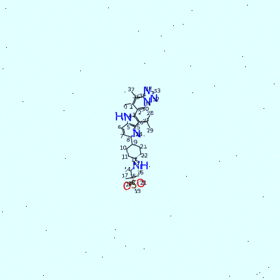 Cc1c(-c2[nH]c3ccc(C4CCC(NCC(C)(C)S(C)(=O)=O)CC4)nc3c2C(C)C)cn2ncnc2c1C